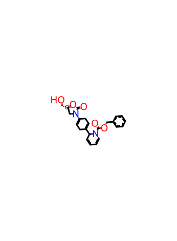 O=C1O[C@@H](CO)CN1C1=CCC(C2C=CC=CN2C(=O)OCc2ccccc2)=CC1